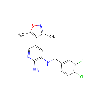 Cc1noc(C)c1-c1cnc(N)c(NCc2ccc(Cl)c(Cl)c2)c1